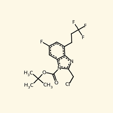 CC(C)(C)OC(=O)n1c(CCl)nc2c(CCC(F)(F)F)cc(F)cc21